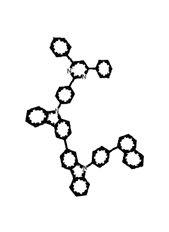 c1ccc(-c2cc(-c3ccccc3)nc(-c3ccc(-n4c5ccccc5c5cc(-c6ccc7c8ccccc8n(-c8ccc(-c9cccc%10ccccc9%10)cc8)c7c6)ccc54)cc3)n2)cc1